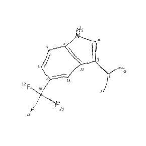 CC(C)c1c[nH]c2ccc(C(F)(F)F)cc12